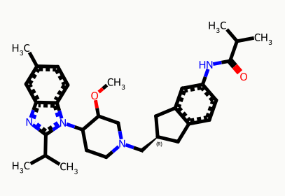 COC1CN(C[C@@H]2Cc3ccc(NC(=O)C(C)C)cc3C2)CCC1n1c(C(C)C)nc2cc(C)ccc21